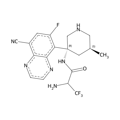 C[C@@H]1CNC[C@](NC(=O)C(N)C(F)(F)F)(c2c(F)cc(C#N)c3nccnc23)C1